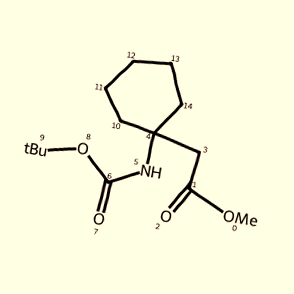 COC(=O)CC1(NC(=O)OC(C)(C)C)CCCCC1